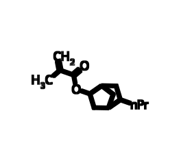 C=C(C)C(=O)OC1CC2CC1CC2CCC